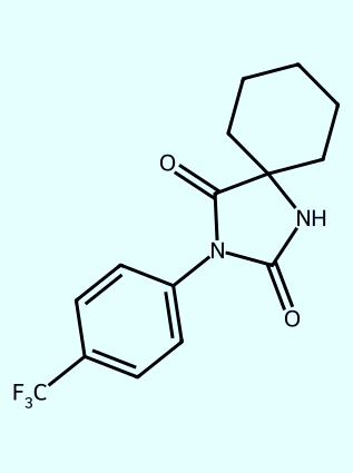 O=C1NC2(CCCCC2)C(=O)N1c1ccc(C(F)(F)F)cc1